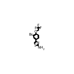 Nc1nc(-c2ccc(OCC(F)(F)F)c(Br)c2)cs1